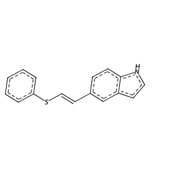 C(=C\c1ccc2[nH]ccc2c1)/Sc1ccccc1